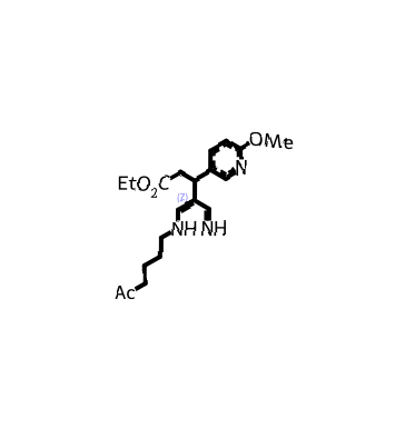 CCOC(=O)CC(/C(C=N)=C/NCCCCC(C)=O)c1ccc(OC)nc1